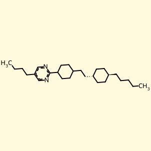 CCCCC[C@H]1CC[C@H](CCC2CCC(c3ncc(CCCC)cn3)CC2)CC1